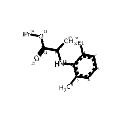 CCc1cccc(C)c1NC(C)C(=O)OC(C)C